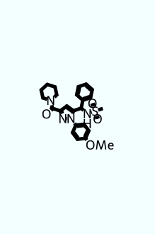 COc1ccc(-n2nc(C(=O)N3CCCCC3)cc2C(NS(C)(=O)=O)c2ccccc2)cc1